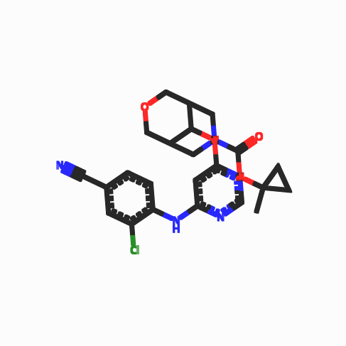 CC1(OC(=O)N2CC3COCC(C2)C3Oc2cc(Nc3ccc(C#N)cc3Cl)ncn2)CC1